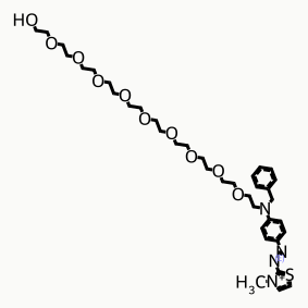 C[n+]1ccsc1/N=N/c1ccc(N(CCOCCOCCOCCOCCOCCOCCOCCOCCOCCO)Cc2ccccc2)cc1